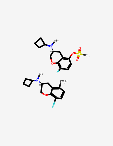 CCCN(C1CCC1)[C@H]1COc2c(F)ccc(C(=O)O)c2C1.CCCN(C1CCC1)[C@H]1COc2c(F)ccc(OS(=O)(=O)C(F)(F)F)c2C1